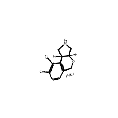 Cl.Clc1ccc2c(c1Cl)[C@@H]1CNC[C@@H]1OC2